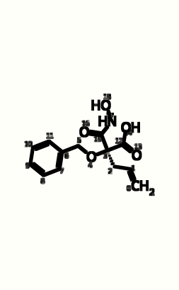 C=CC[C@@](OCc1ccccc1)(C(=O)O)C(=O)NO